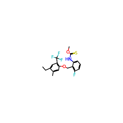 CCc1cc(C(F)(F)F)c(OCc2c(F)cccc2NC(=S)OC)cc1C